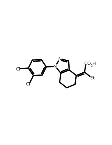 CC/C(C(=O)O)=C1\CCCc2c1cnn2-c1ccc(Cl)c(Cl)c1